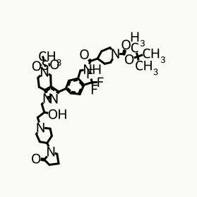 CC(C)(C)OC(=O)N1CCC(C(=O)NCc2cc(-c3nn(CC(O)CN4CCC(N5CCCC5=O)CC4)c4c3CN(S(C)(=O)=O)CC4)ccc2C(F)(F)F)CC1